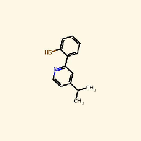 CC(C)c1ccnc(-c2ccccc2S)c1